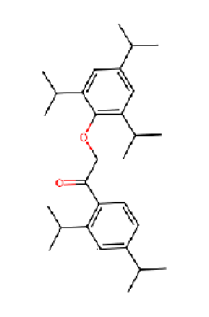 CC(C)c1[c]c(C(C)C)c(C(=O)COc2c(C(C)C)cc(C(C)C)cc2C(C)C)cc1